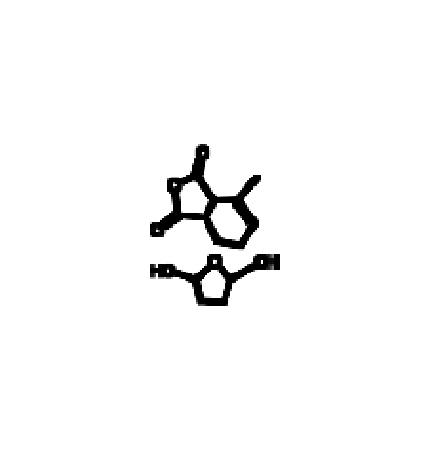 CC1=CCCC2C(=O)OC(=O)C12.OC1CCC(O)O1